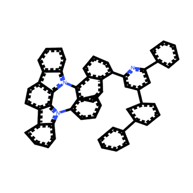 c1ccc(-c2cccc(-c3cc(-c4ccccc4)nc(-c4cccc5c(-n6c7ccccc7c7ccc8c9ccccc9n(-c9ccccc9)c8c76)cccc45)c3)c2)cc1